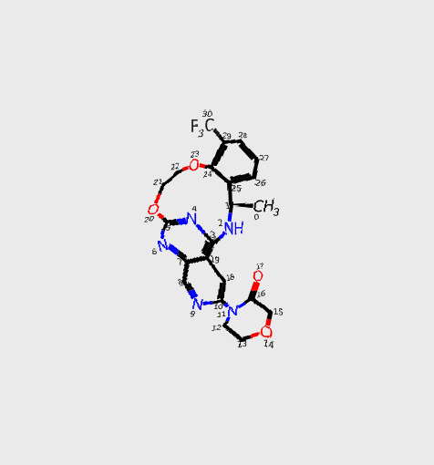 C[C@H]1Nc2nc(nc3cnc(N4CCOCC4=O)cc23)OCCOc2c1cccc2C(F)(F)F